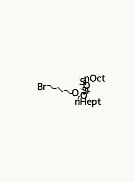 CCCCCCCC[Si](C)(C)O[Si](C)(C)OC(CCCCCCC)OCCCCCCBr